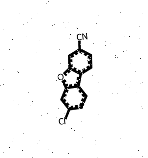 N#Cc1ccc2c(c1)oc1cc(Cl)ccc12